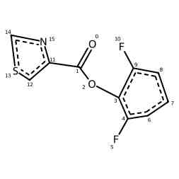 O=C(Oc1c(F)cccc1F)c1cscn1